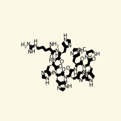 N=C(N)NCCC[C@H](N)C(=O)N[C@@H](Cc1c[nH]cn1)C(=O)N[C@@H](Cc1c[nH]cn1)C(=O)N[C@@H](Cc1c[nH]cn1)C(=O)N[C@@H](Cc1c[nH]cn1)C(=O)N[C@@H](Cc1c[nH]cn1)C(=O)N[C@@H](Cc1c[nH]cn1)C(=O)N[C@@H](CS)C(=O)O